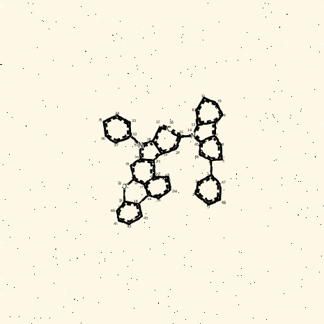 c1ccc(-c2ccc3c4ccccc4n(-c4ccc5c(c4)c4c6cccc7c6c(cc4n5-c4ccccc4)Oc4ccccc4-7)c3c2)cc1